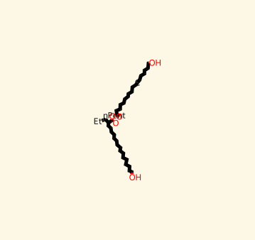 CCCCCC(CC)C(CCCCCCCCCCCCCCCCO)C(=O)OC(=O)CCCCCCCCCCCCCCCCCO